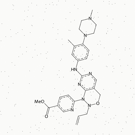 C=CCN1OCc2cnc(Nc3ccc(N4CCN(C)CC4)c(C)c3)nc2N1c1ccc(C(=O)OC)cn1